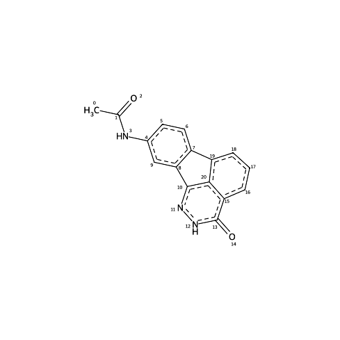 CC(=O)Nc1ccc2c(c1)-c1n[nH]c(=O)c3cccc-2c13